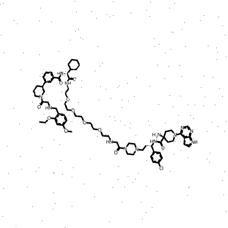 CCOc1cc(OC)ccc1CNCC(=O)N1CCCC(c2cccc(C(=O)N[C@@H](C(=O)NCCOCCOCCOCCOCCNCC(=O)N3CCN(CC[C@H](NC(=O)C4(N)CCN(c5ncnc6[nH]ccc56)CC4)c4ccc(Cl)cc4)CC3)C3CCCCC3)c2)C1